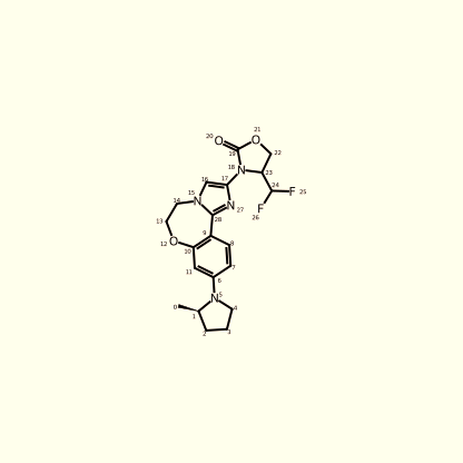 C[C@@H]1CCCN1c1ccc2c(c1)OCCn1cc(N3C(=O)OCC3C(F)F)nc1-2